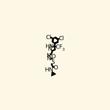 O=C(CSc1nnc(C2=NNC(c3cc(Cl)cc(Cl)c3)(C(F)(F)F)C2)o1)NC1CC1